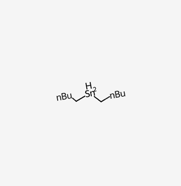 CCCC[CH2][SnH2][CH2]CCCC